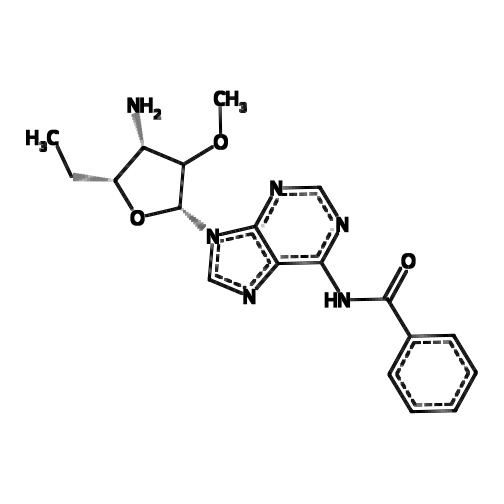 CC[C@H]1O[C@@H](n2cnc3c(NC(=O)c4ccccc4)ncnc32)C(OC)[C@H]1N